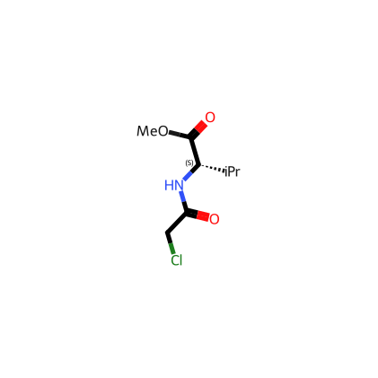 COC(=O)[C@@H](NC(=O)CCl)C(C)C